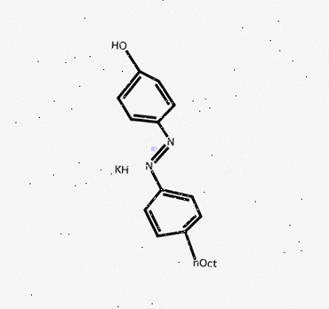 CCCCCCCCc1ccc(/N=N/c2ccc(O)cc2)cc1.[KH]